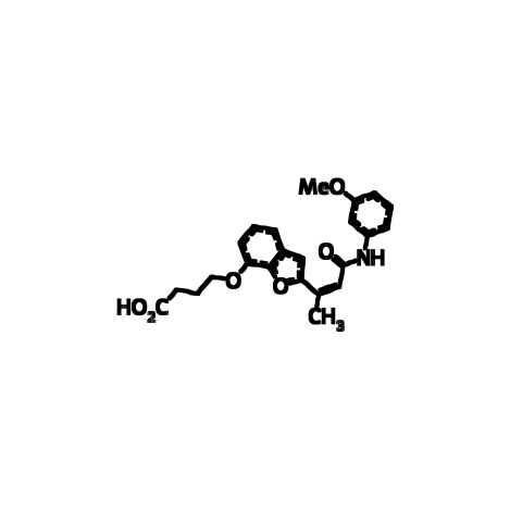 COc1cccc(NC(=O)/C=C(/C)c2cc3cccc(OCCCC(=O)O)c3o2)c1